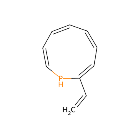 C=Cc1ccccccc[pH]1